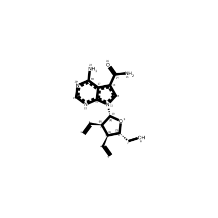 C=C[C@@H]1[C@H](C=C)[C@@H](CO)O[C@H]1n1cc(C(N)=O)c2c(N)ncnc21